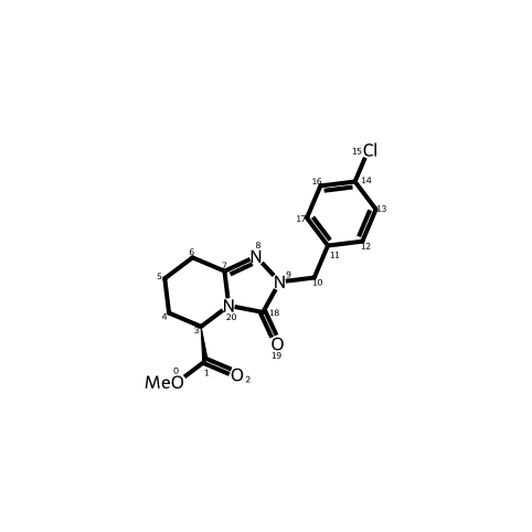 COC(=O)[C@H]1CCCc2nn(Cc3ccc(Cl)cc3)c(=O)n21